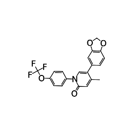 Cc1cc(=O)n(-c2ccc(OC(F)(F)F)cc2)cc1-c1ccc2c(c1)OCO2